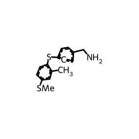 CSc1ccc(Sc2ccc(CN)cc2)c(C)c1